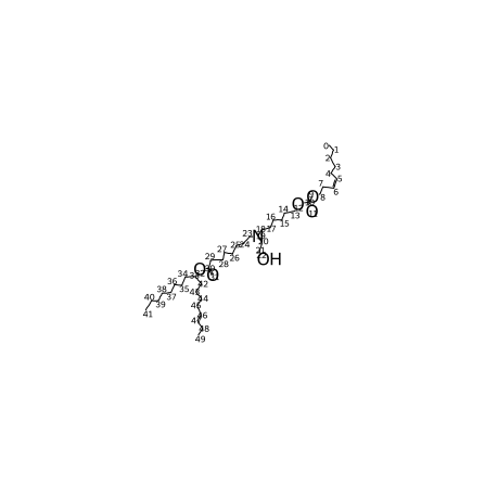 CCCCC/C=C\CCOC(=O)OCCCCCCN(CCO)CCCCCCCC(=O)OC(CCCCCCCC)CCCCCCCC